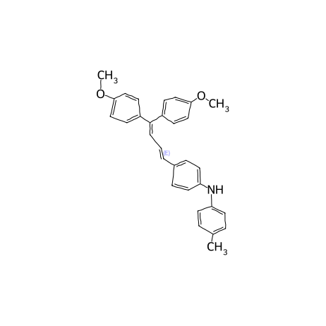 COc1ccc(C(=C/C=C/c2ccc(Nc3ccc(C)cc3)cc2)c2ccc(OC)cc2)cc1